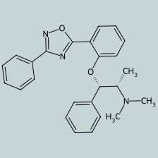 C[C@@H]([C@@H](Oc1ccccc1-c1nc(-c2ccccc2)no1)c1ccccc1)N(C)C